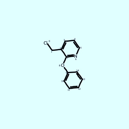 ClCc1cccnc1Oc1ccccc1